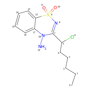 CCCCCC(Cl)C1=NS(=O)(=O)c2ccccc2N1N